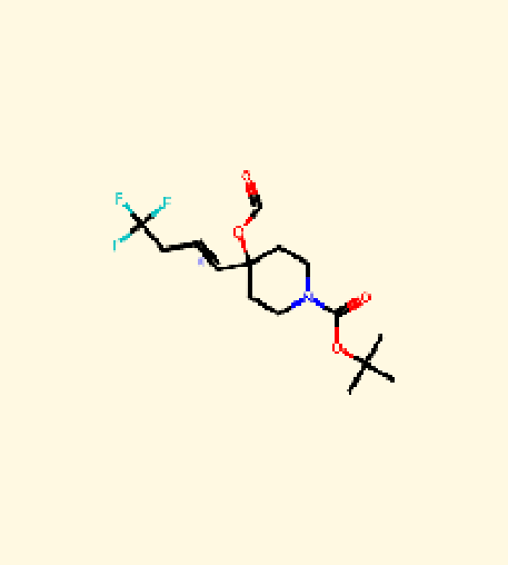 CC(C)(C)OC(=O)N1CCC(/C=C/CC(F)(F)F)(OC=O)CC1